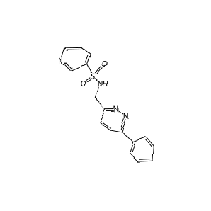 O=S(=O)(NCc1ccc(-c2ccccc2)nn1)c1cccnc1